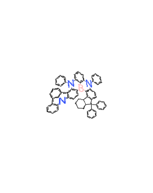 c1ccc(N2c3cccc4c3B(c3ccc5c(c3N4c3ccccc3)c3cccc4c6ccccc6n5c43)c3c2ccc2c3C3CCCCC3C2(c2ccccc2)c2ccccc2)cc1